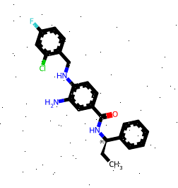 CC[C@@H](NC(=O)c1ccc(NCc2ccc(F)cc2Cl)c(N)c1)c1ccccc1